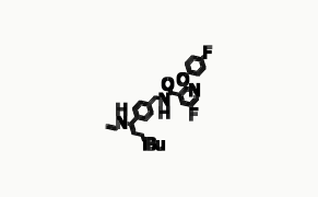 C=CN/C(=C/CC(C)CC)c1ccc(CNC(=O)c2cc(F)cnc2Oc2ccc(F)cc2)cc1